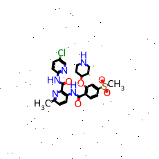 Cc1ccc(NC(=O)c2ccc(S(C)(=O)=O)cc2OC2CCNCC2)c(C(=O)Nc2ccc(Cl)cn2)n1